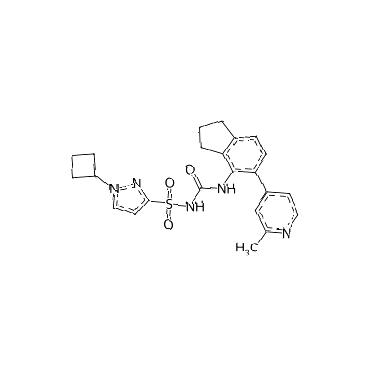 Cc1cc(-c2ccc3c(c2NC(=O)NS(=O)(=O)c2ccn(C4CCC4)n2)CCC3)ccn1